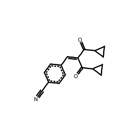 N#Cc1ccc(C=C(C(=O)C2CC2)C(=O)C2CC2)cc1